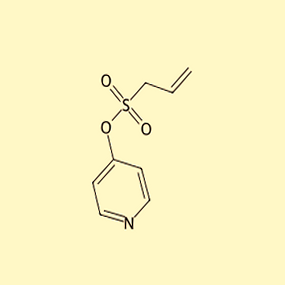 C=CCS(=O)(=O)Oc1ccncc1